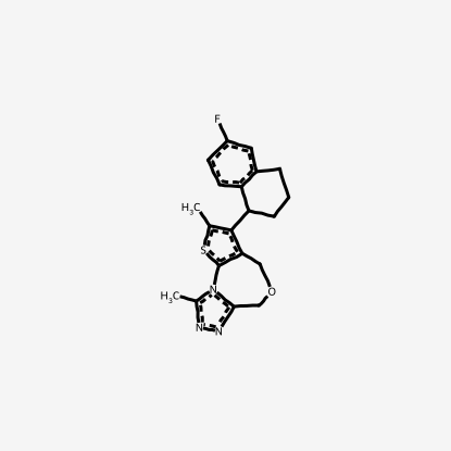 Cc1sc2c(c1C1CCCc3cc(F)ccc31)COCc1nnc(C)n1-2